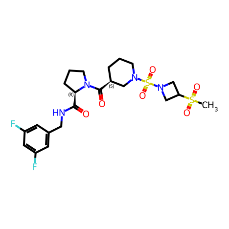 CS(=O)(=O)C1CN(S(=O)(=O)N2CCC[C@H](C(=O)N3CCC[C@@H]3C(=O)NCc3cc(F)cc(F)c3)C2)C1